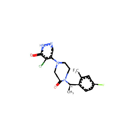 C[C@H](c1ccc(F)cc1C(F)(F)F)N1CCN(c2cn[nH]c(=O)c2Cl)CC1=O